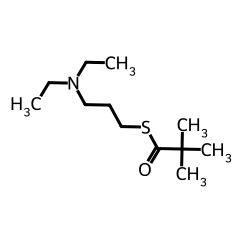 CCN(CC)CCCSC(=O)C(C)(C)C